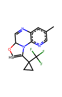 Cc1cnc2c(c1)N=CC1O[SiH]=C(C3(C(F)(F)F)CC3)N21